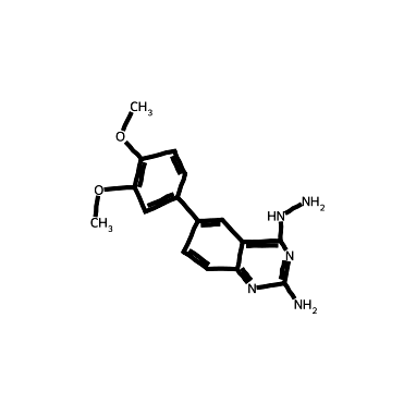 COc1ccc(-c2ccc3nc(N)nc(NN)c3c2)cc1OC